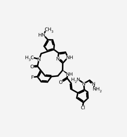 CNc1ccc2c(c1)CN(C)C(=O)c1cc(ccc1F)C[C@H](NC(=O)/C=C/c1cc(Cl)ccc1N(N)/C=N\N)c1nc-2c[nH]1